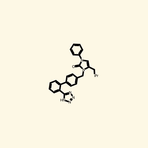 CC(C)Cc1cn(-c2ccccc2)c(=O)n1Cc1ccc(-c2ccccc2-c2nnn[nH]2)cc1